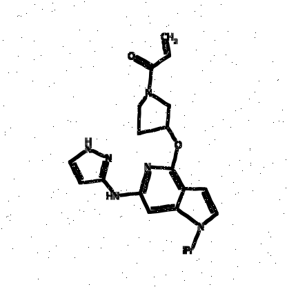 C=CC(=O)N1CCC(Oc2nc(Nc3cc[nH]n3)cc3c2ccn3C(C)C)C1